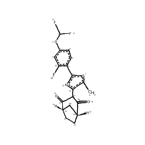 Cc1sc(-c2ccc(OC(F)F)cc2F)nc1C1C(=O)[C@@H]2CC[C@@H](C2)C1=O